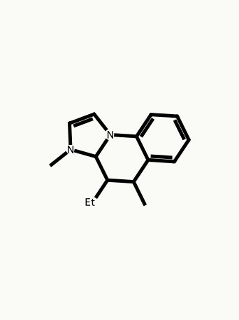 CCC1C(C)c2ccccc2N2C=CN(C)C12